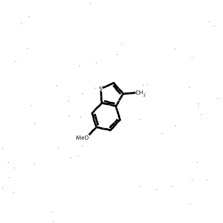 [CH2]c1csc2cc(OC)ccc12